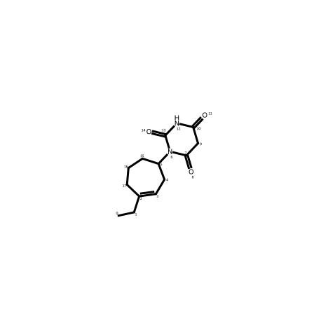 CCC1=CCC(N2C(=O)CC(=O)NC2=O)CCC1